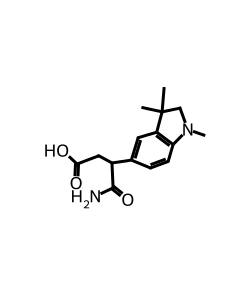 CN1CC(C)(C)c2cc(C(CC(=O)O)C(N)=O)ccc21